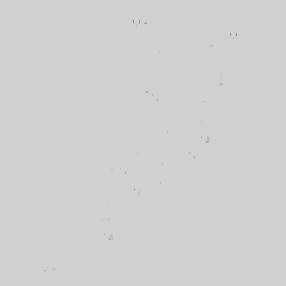 COCCNC(=O)Cn1cc(-c2n[nH]c3cc(-c4c(Cl)c(OC)cc(OC)c4Cl)ncc23)cn1